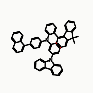 CC1(C)c2ccccc2-c2c(-c3ccccc3N(c3ccc(-c4cccc5ccccc45)cc3)c3cccc(-n4c5ccccc5c5ccccc54)c3)cccc21